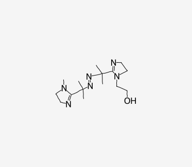 CN1CCN=C1C(C)(C)N=NC(C)(C)C1=NCCN1CCO